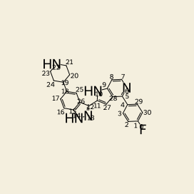 Fc1ccc(-c2nccc3[nH]c(-c4n[nH]c5ccc(C6CCNCC6)cc45)cc23)cc1